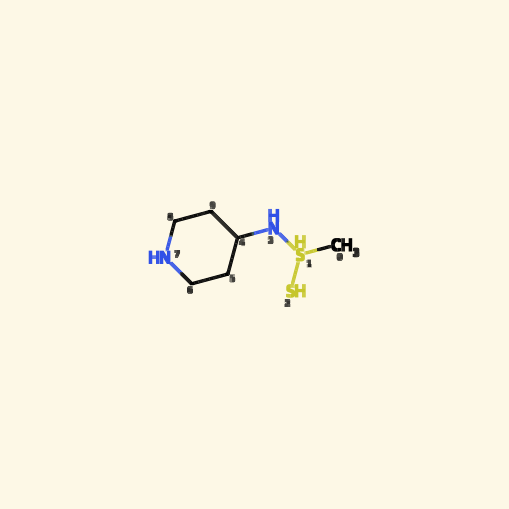 C[SH](S)NC1CCNCC1